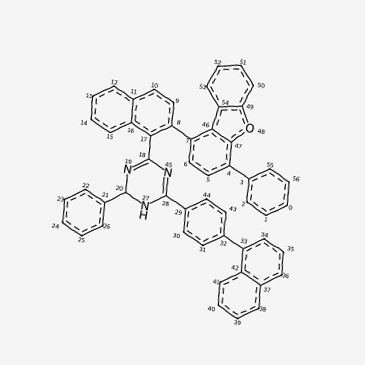 c1ccc(-c2ccc(-c3ccc4ccccc4c3C3=NC(c4ccccc4)NC(c4ccc(-c5cccc6ccccc56)cc4)=N3)c3c2oc2ccccc23)cc1